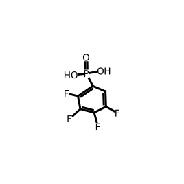 O=P(O)(O)c1cc(F)c(F)c(F)c1F